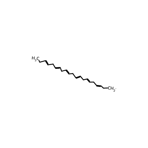 [CH2]CC=CCC=CCC=CCC=CCC=CCC=CCC